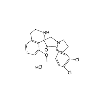 COc1cccc2c1C(CN1CCCC1)(C(=O)Cc1ccc(Cl)c(Cl)c1)NCC2.Cl